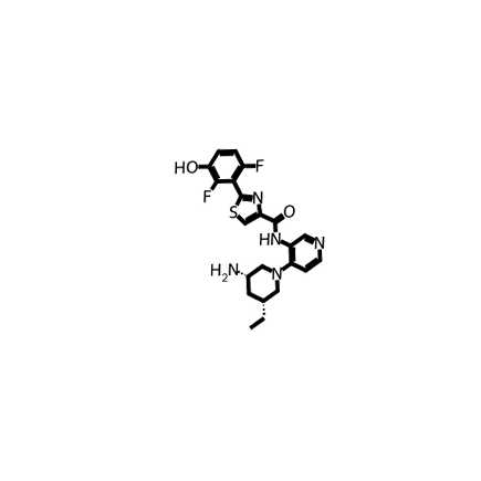 CC[C@@H]1C[C@H](N)CN(c2ccncc2NC(=O)c2csc(-c3c(F)ccc(O)c3F)n2)C1